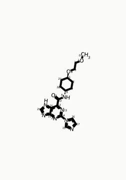 COCCO[C@H]1CC[C@H](NC(=O)c2nc(-n3ccnc3)nc3nc[nH]c23)CC1